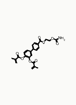 C=C(C)C(=O)Oc1ccc(-c2ccc(C(=O)OCCOC(N)=O)cc2)cc1OC(=O)C(=C)C